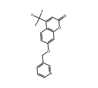 O=c1cc(C(F)(F)F)c2ccc(OCc3cccnc3)cc2o1